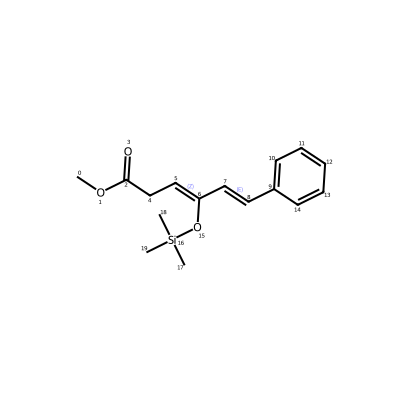 COC(=O)C/C=C(/C=C/c1ccccc1)O[Si](C)(C)C